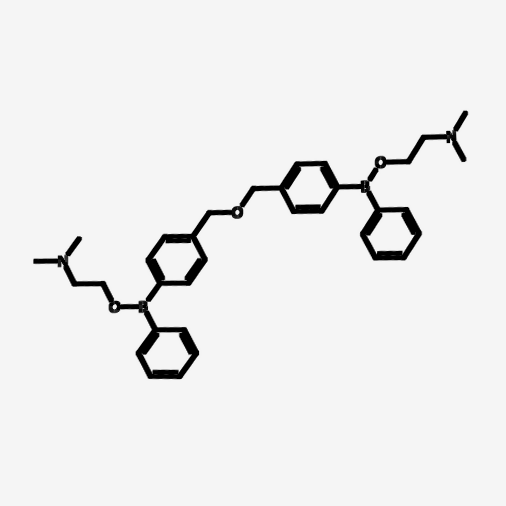 CN(C)CCOB(c1ccccc1)c1ccc(COCc2ccc(B(OCCN(C)C)c3ccccc3)cc2)cc1